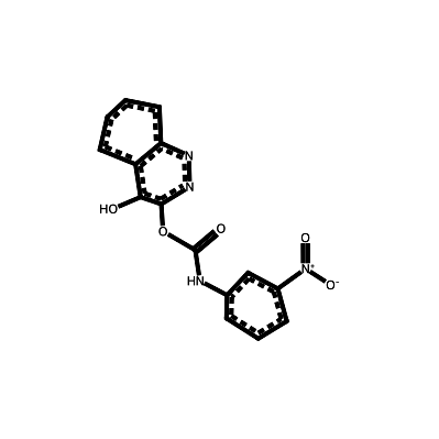 O=C(Nc1cccc([N+](=O)[O-])c1)Oc1nnc2ccccc2c1O